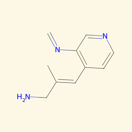 C=Nc1cnccc1/C=C(\C)CN